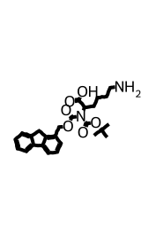 CC(C)(C)OC(=O)N(C(=O)OCc1cccc2c1Cc1ccccc1-2)C(CCCCN)C(=O)O